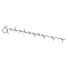 CC(C)=CCC/C(C)=C/CC/C(C)=C/C=C/C(C)=C/C=C/C=C(C)/C=C/C=C(C)/C=C/C1=C(C)CCCC1(C)C